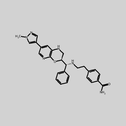 Cn1cc(-c2cnc3c(c2)NC[C@@H]([C@H](NCCc2ccc(C(N)=O)cc2)c2ccccc2)O3)cn1